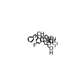 CN(Cc1ccccc1)c1cc(F)cc(C(CCCO)O[Si](C)(C)C(C)(C)C)c1[N+](=O)[O-]